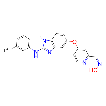 CC(C)c1cccc(Nc2nc3cc(Oc4ccnc(/C=N\O)c4)ccc3n2C)c1